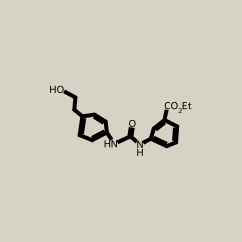 CCOC(=O)c1cccc(NC(=O)Nc2ccc(CCO)cc2)c1